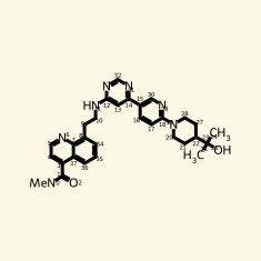 CNC(=O)c1ccnc2c(CCNc3cc(-c4ccc(N5CCC(C(C)(C)O)CC5)nc4)ncn3)cccc12